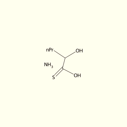 CCCC(O)C(O)=S.N